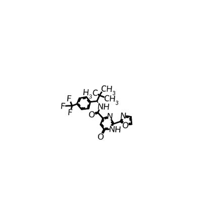 CC(C)(C)[C@H](NC(=O)c1cc(=O)[nH]c(-c2ncco2)n1)c1ccc(C(F)(F)F)cc1